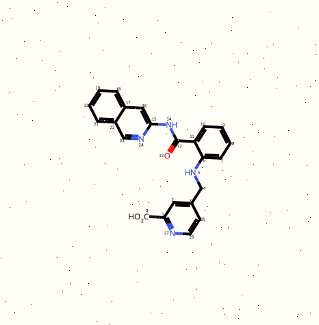 O=C(O)c1cc(CNc2ccccc2C(=O)Nc2cc3ccccc3cn2)ccn1